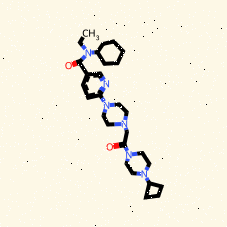 CCN(C(=O)c1ccc(N2CCN(CC(=O)N3CCN(C4CCC4)CC3)CC2)nc1)C1CCCCC1